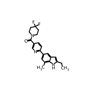 CCc1cc2cc(-c3ccc(C(=O)N4CCC(F)(F)CC4)cn3)cc(C)c2[nH]1